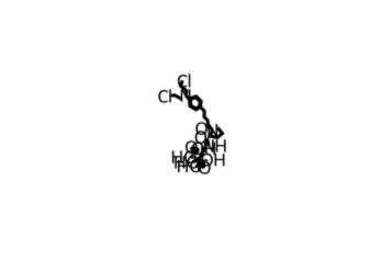 O=C(NCCC(O)(P(=O)(O)O)P(=O)(O)O)[C@@H]1CCCN1C(=O)CCCc1ccc(N(CCCl)CCCl)cc1